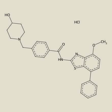 COc1ccc(-c2ccccc2)c2sc(NC(=O)c3ccc(CN4CCC(O)CC4)cc3)nc12.Cl